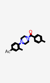 CC(=O)c1ccc(N2CCN(C(=O)c3ccc(C)cc3)CC2)c(C)c1